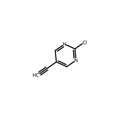 C#Cc1cnc(Cl)nc1